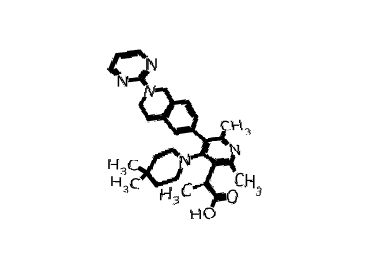 Cc1nc(C)c([C@H](C)C(=O)O)c(N2CCC(C)(C)CC2)c1-c1ccc2c(c1)CCN(c1ncccn1)C2